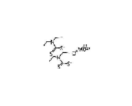 CCN(CC)C(=S)[S-].CCN(CC)C(=S)[S-].[O]=[Mo+2]=[O]